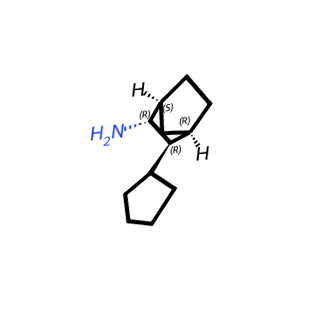 N[C@@H]1[C@H]2CC[C@H](C2)[C@H]1C1CCCC1